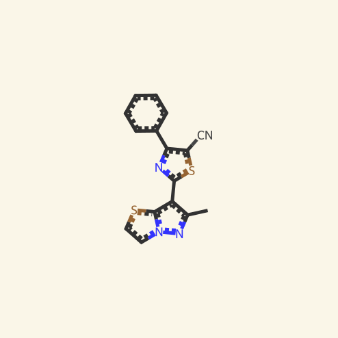 Cc1nn2ccsc2c1-c1nc(-c2ccccc2)c(C#N)s1